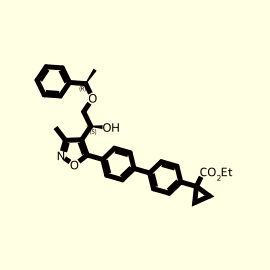 CCOC(=O)C1(c2ccc(-c3ccc(-c4onc(C)c4[C@H](O)CO[C@H](C)c4ccccc4)cc3)cc2)CC1